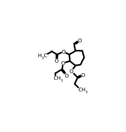 CCC(=O)OC1CCCC(C=O)C(OC(=O)CC)C1OC(=O)CC